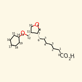 O=C(O)CCCCCC[C@H]1COC[C@H]1COC1CCCCC1